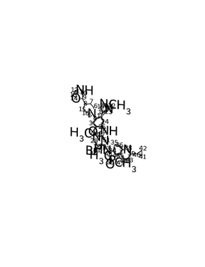 COc1cc(N2CCC(C3CNCCO3)CC2)c(-c2cnn(C)c2)cc1Nc1ncc(Br)c(Nc2ccc3nc(C4CC4)ccc3c2P(C)(C)=O)n1